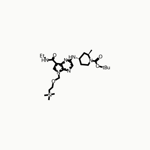 CCNC(=O)c1cn(COCC[Si](C)(C)C)c2ncc(N[C@H]3CCN(C(=O)OC(C)(C)C)[C@H](C)C3)nc12